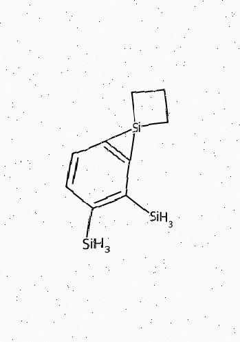 [SiH3]c1ccc2c(c1[SiH3])[Si]21CCC1